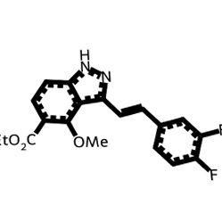 CCOC(=O)c1ccc2[nH]nc(C=Cc3ccc(F)c(F)c3)c2c1OC